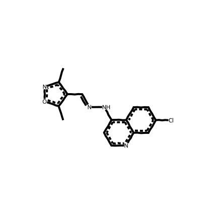 Cc1noc(C)c1C=NNc1ccnc2cc(Cl)ccc12